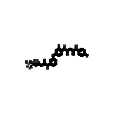 C[Si](C)(C)CCOC(=O)Nc1cc(Oc2ccc(NC(=O)CC(=O)Nc3ccc(F)cc3)c(F)c2)ccn1